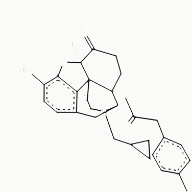 O=C(Cc1ccc(Cl)cc1)O[C@@]12CCC(=O)[C@@H]3Oc4c(O)ccc5c4C31CCN(CC1CC1)C2C5